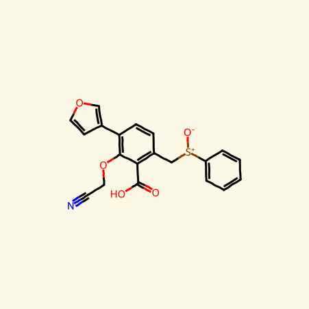 N#CCOc1c(-c2ccoc2)ccc(C[S+]([O-])c2ccccc2)c1C(=O)O